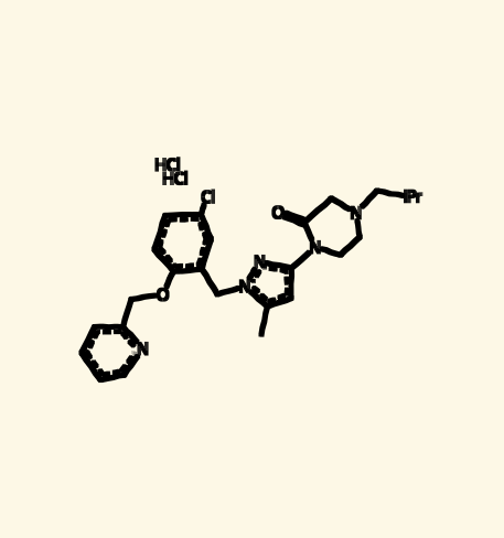 Cc1cc(N2CCN(CC(C)C)CC2=O)nn1Cc1cc(Cl)ccc1OCc1ccccn1.Cl.Cl